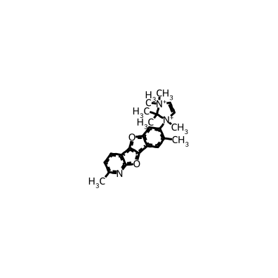 Cc1ccc2c(n1)oc1c3cc(C)c([N+]4(C)C=C[N+](C)(C)C4(C)C)cc3oc21